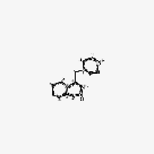 c1ccc2c(Cc3ccncc3)nncc2c1